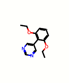 CCOc1c[c]cc(OCC)c1-c1cncnc1